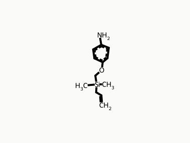 C=CC[Si](C)(C)COc1ccc(N)cc1